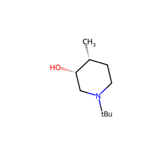 C[C@@H]1CCN(C(C)(C)C)C[C@@H]1O